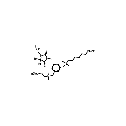 CCCCCCCCCCCCCCCC[N+](C)(C)C.CCCCCCCCCCCC[N+](C)(C)Cc1ccccc1.CN1C(=O)N(C)C(Br)(Br)C1=O.[Br-].[Cl-]